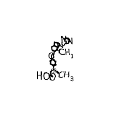 CC#C[C@@H](CC(=O)O)c1ccc(OCc2ccc3ccn(Cc4cnccn4)c3c2C)cc1